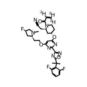 [2H]C([2H])=C([2H])C(=O)N1CC[C@H](Oc2cc(OCC[C@H]3C[C@@H](F)CN3C)nc(-c3noc(C(C)(C)c4c(F)cccc4F)n3)n2)C[C@H]1CC#N